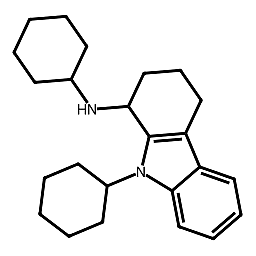 c1ccc2c(c1)c1c(n2C2CCCCC2)C(NC2CCCCC2)CCC1